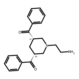 NCCN1C[C@H](C(=O)c2ccccc2)C[C@H](C(=O)c2ccccc2)C1